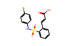 O=C(O)C=Cc1ccccc1S(=O)(=O)Nc1ccc(Br)cc1